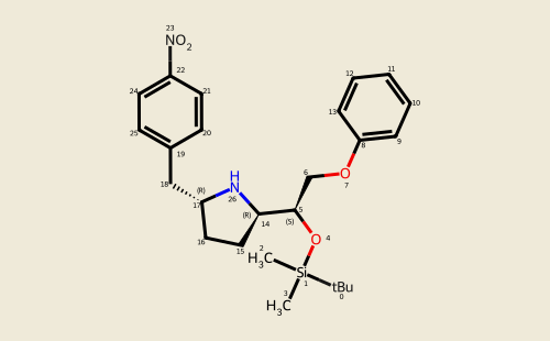 CC(C)(C)[Si](C)(C)O[C@H](COc1ccccc1)[C@H]1CC[C@H](Cc2ccc([N+](=O)[O-])cc2)N1